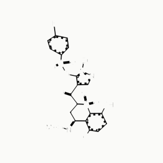 CCn1ncc(C(=O)C2C/C(=N\OC)c3c(C)ccc(C)c3S2(=O)=O)c1OS(=O)(=O)c1ccc(F)cc1